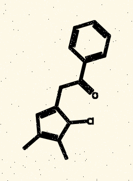 CC1=C(C)C(Cl)C(CC(=O)c2ccccc2)=C1